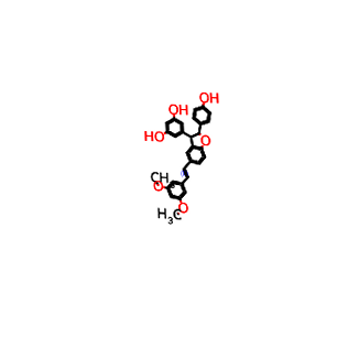 COc1cc(/C=C/c2ccc3c(c2)C(c2cc(O)cc(O)c2)C(c2ccc(O)cc2)O3)cc(OC)c1